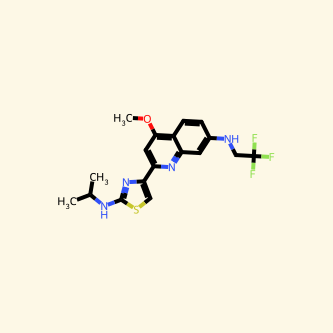 COc1cc(-c2csc(NC(C)C)n2)nc2cc(NCC(F)(F)F)ccc12